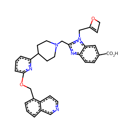 O=C(O)c1ccc2nc(CN3CCC(c4cccc(OCc5cccc6cnccc56)n4)CC3)n(CC3=CCO3)c2c1